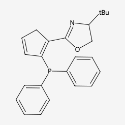 CC(C)(C)C1COC(C2=C(P(c3ccccc3)c3ccccc3)C=CC2)=N1